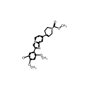 COC(=O)N1CC=C(c2ccn3cc(-c4cc(Cl)c(OC)cc4OC)nc3c2)CC1